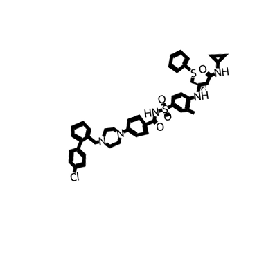 Cc1cc(S(=O)(=O)NC(=O)c2ccc(N3CCN(Cc4ccccc4-c4ccc(Cl)cc4)CC3)cc2)ccc1N[C@@H](CSc1ccccc1)CC(=O)NC1CC1